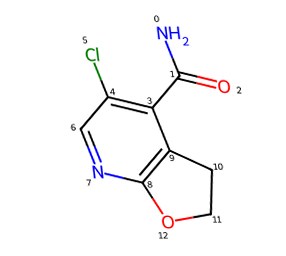 NC(=O)c1c(Cl)cnc2c1CCO2